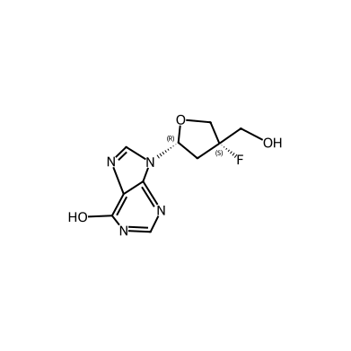 OC[C@]1(F)CO[C@@H](n2cnc3c(O)ncnc32)C1